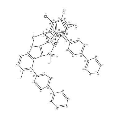 Cc1ccc(C2=C3c4c(ccc(C)c4-c4ccc(-c5ccccc5)cc4)[CH]2[Zr][CH]2C(c4ccc(C)o4)=C(c4c(-c5ccc(-c6ccccc6)cc5)c(C)c(Cl)c(Cl)c42)[Si]3(C)C)o1